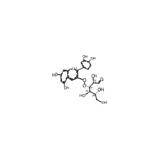 O=C[C@H](O)[C@@H](OOc1cc2c(O)cc(O)cc2[o+]c1-c1ccc(O)c(O)c1)[C@H](O)[C@H](O)CO